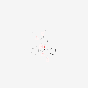 COc1ccc(-c2c(C3(O)CCCCC3)oc(=O)c3ccccc23)cc1OC1CCCC1